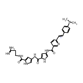 CN(C)c1ccc(/C=C/c2ccc(C(=O)Nc3c[nH]c(C(=O)Nc4c[nH]c(C(=O)NCCC(=N)N)c4)c3)cn2)cc1